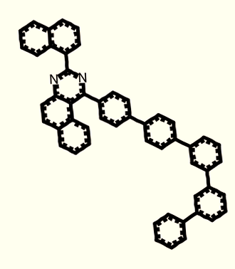 c1ccc(-c2cccc(-c3cccc(-c4ccc(-c5ccc(-c6nc(-c7cccc8ccccc78)nc7ccc8ccccc8c67)cc5)cc4)c3)c2)cc1